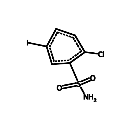 NS(=O)(=O)c1cc(I)ccc1Cl